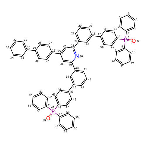 O=P(c1ccccc1)(c1ccccc1)c1ccc(-c2cccc(-c3cc(-c4ccc(-c5ccccc5)cc4)cc(-c4cccc(-c5ccc(P(=O)(c6ccccc6)c6ccccc6)cc5)c4)n3)c2)cc1